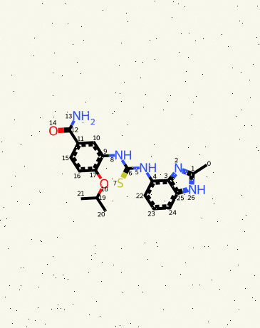 Cc1nc2c(NC(=S)Nc3cc(C(N)=O)ccc3OC(C)C)cccc2[nH]1